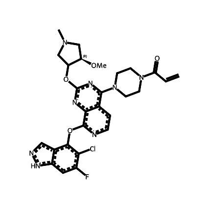 C=CC(=O)N1CCN(c2nc(OC3CN(C)C[C@H]3OC)nc3c(Oc4c(Cl)c(F)cc5[nH]ncc45)nccc23)CC1